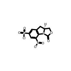 O=C1OC[C@@H]2Cc3cc(S(=O)(=O)Cl)cc([N+](=O)[O-])c3N12